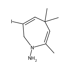 CC1=CC(C)(C)C=C(I)CN1N